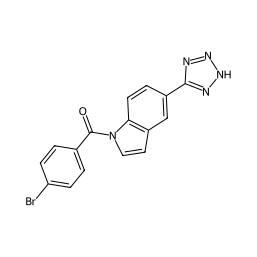 O=C(c1ccc(Br)cc1)n1ccc2cc(-c3nn[nH]n3)ccc21